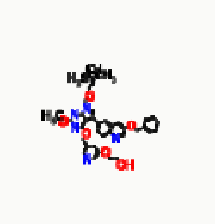 COc1nc(OCc2cncc(OCCO)c2)c2c(-c3ccc4ncc(OCc5ccccc5)cc4c3)cn(COCC[Si](C)(C)C)c2n1